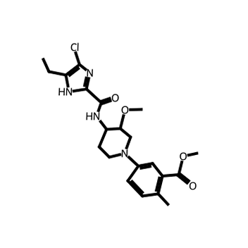 CCc1[nH]c(C(=O)NC2CCN(c3ccc(C)c(C(=O)OC)c3)CC2OC)nc1Cl